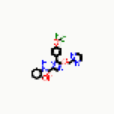 O=C(N[C@@H]1CCCC[C@H]1O)c1cnc(OCc2ncccn2)c(-c2ccc(OC(F)(F)F)cc2)n1